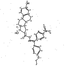 CCOc1ccc(/C(=N/OC(=O)C2CC3C4CCc5cc(O)ccc5C4CC[C@]3(C)[C@H]2O)c2ccc([N+](=O)[O-])cc2)cc1